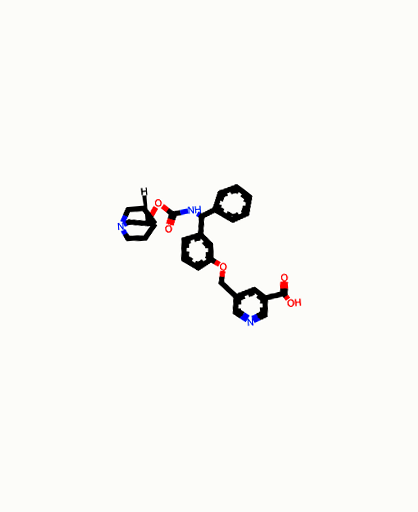 O=C(NC(c1ccccc1)c1cccc(OCc2cncc(C(=O)O)c2)c1)O[C@H]1CN2CCC1CC2